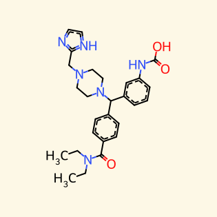 CCN(CC)C(=O)c1ccc(C(c2cccc(NC(=O)O)c2)N2CCN(Cc3ncc[nH]3)CC2)cc1